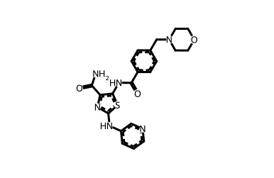 NC(=O)c1nc(Nc2cccnc2)sc1NC(=O)c1ccc(CN2CCOCC2)cc1